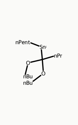 CCCC[CH2][Sn][C](CCC)(OCCCC)OCCCC